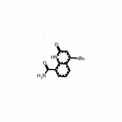 CCCCc1cc(=O)[nH]c2c(C(N)=O)cccc12